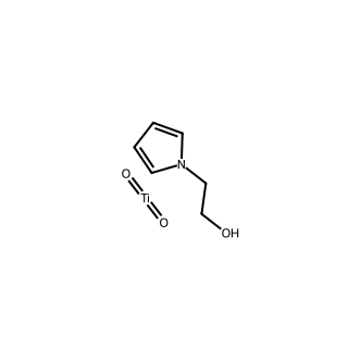 OCCn1cccc1.[O]=[Ti]=[O]